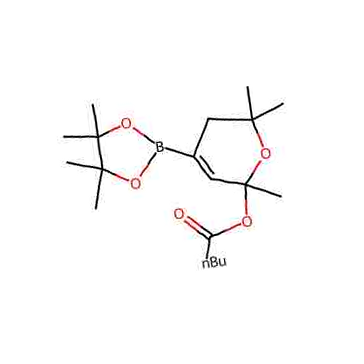 CCCCC(=O)OC1(C)C=C(B2OC(C)(C)C(C)(C)O2)CC(C)(C)O1